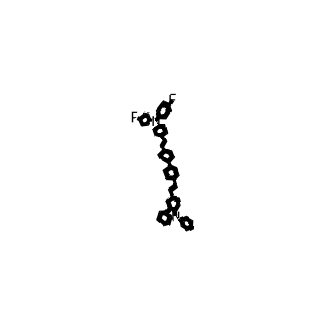 Fc1ccc(N(c2ccc(F)cc2)c2ccc(C=Cc3ccc(-c4ccc(C=Cc5ccc6c(c5)c5ccccc5n6-c5ccccc5)cc4)cc3)cc2)cc1